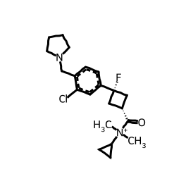 C[N+](C)(C(=O)[C@H]1C[C@](F)(c2ccc(CN3CCCC3)c(Cl)c2)C1)C1CC1